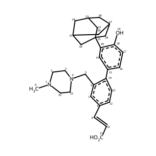 CN1CCN(Cc2cc(/C=C/C(=O)O)ccc2-c2ccc(O)c(C34CC5CC(CC(C5)C3)C4)c2)CC1